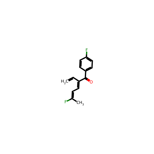 C=C/C(=C\C=C(/C)F)C(=O)c1ccc(F)cc1